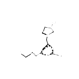 CCCCc1cc(N2CC[C@@H](N)C2)nc(N)n1